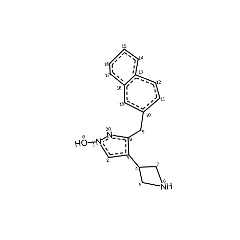 On1cc(C2CNC2)c(Cc2ccc3ccccc3c2)n1